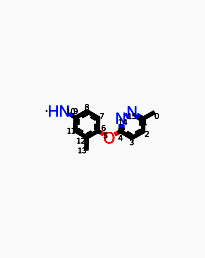 Cc1ccc(Oc2ccc([NH])cc2C)nn1